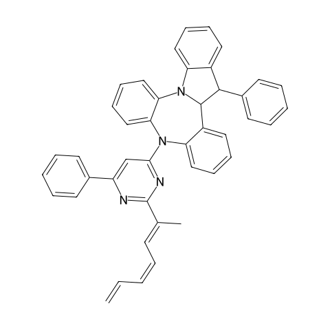 C=C/C=C\C=C(/C)c1nc(-c2ccccc2)cc(N2c3ccccc3C3C(c4ccccc4)c4ccccc4N3c3ccccc32)n1